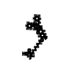 CC(C)(C)N(CCCCCCCCOc1ccc(Cc2nc3c(Cc4ccccc4)[nH]c(-c4ccccc4)cn-3c2=O)cc1F)C(=O)O